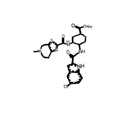 COC(=O)C1CCC(NC(=O)c2cc3cc(Cl)ccc3[nH]2)C(NC(=O)c2nc3c(s2)CN(C)CC3)C1